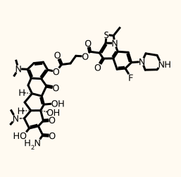 CC1Sc2c(C(=O)OCCC(=O)Oc3ccc(N(C)C)c4c3C(=O)C3=C(O)[C@@]5(O)C(=O)C(C(N)=O)=C(O)[C@H](N(C)C)[C@H]5C[C@H]3C4)c(=O)c3cc(F)c(N4CCNCC4)cc3n21